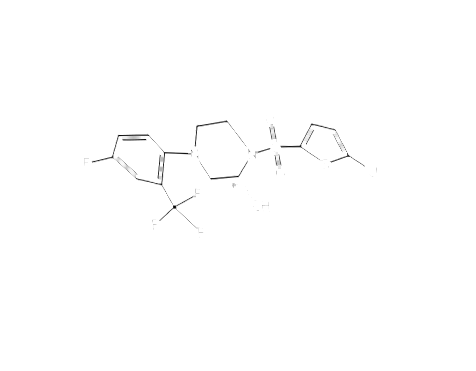 C[C@@H]1CN(c2ccc(F)cc2C(F)(F)F)CCN1S(=O)(=O)c1ccc(Cl)s1